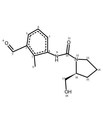 Cc1c(C=O)cccc1NC(=O)N1CCC[C@H]1CO